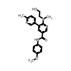 Cc1ccc(-c2cc(C(=O)Nc3ccc(OC(F)(F)F)cc3)cnc2N(C)CCO)cn1